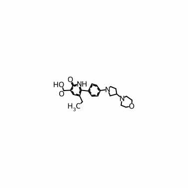 CCc1cc(C(=O)O)c(=O)[nH]c1-c1ccc(N2CCC(N3CCOCC3)C2)cc1